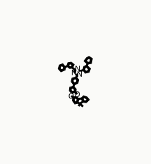 CC1(C)c2ccccc2-c2c1ccc1c2Oc2cc(-c3ccc(-c4nc(-c5cccc(-c6ccccc6)c5)nc(-c5cccc(-c6ccccc6)c5)n4)cc3)ccc2O1